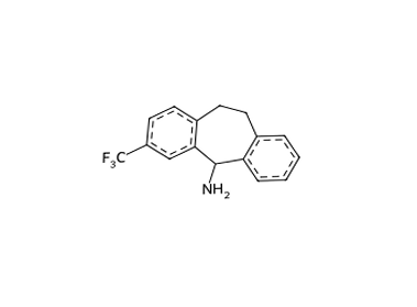 NC1c2ccccc2CCc2ccc(C(F)(F)F)cc21